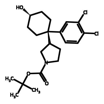 CC(C)(C)OC(=O)N1CCC([C@]2(c3ccc(Cl)c(Cl)c3)CC[C@@H](O)CC2)C1